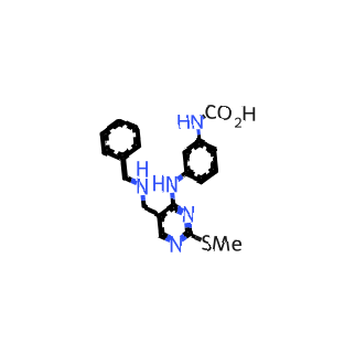 CSc1ncc(CNCc2ccccc2)c(Nc2cccc(NC(=O)O)c2)n1